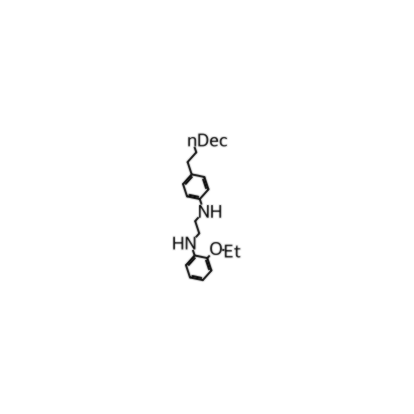 CCCCCCCCCCCCc1ccc(NCCNc2ccccc2OCC)cc1